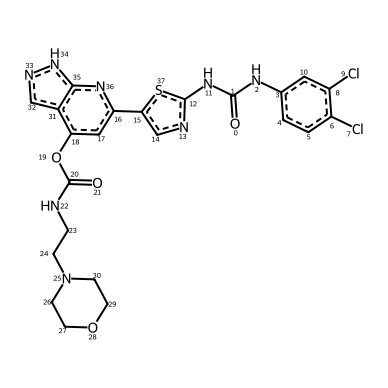 O=C(Nc1ccc(Cl)c(Cl)c1)Nc1ncc(-c2cc(OC(=O)NCCN3CCOCC3)c3cn[nH]c3n2)s1